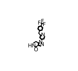 O=C1NCCc2c1cnn2-c1ccnc(Cc2ccc(C(F)(F)F)cc2)c1